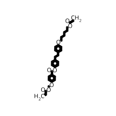 C=CC(=O)OCCCCCCOc1ccc(CCc2ccc(OC(=O)c3ccc(OCOC(=O)C=C)cc3)cc2)cc1